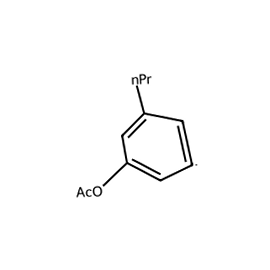 CCCc1c[c]cc(OC(C)=O)c1